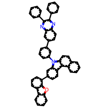 c1ccc(-c2nc3ccc(-c4cccc(-n5c6cc(-c7cccc8c7oc7ccccc78)ccc6c6c7ccccc7ccc65)c4)cc3nc2-c2ccccc2)cc1